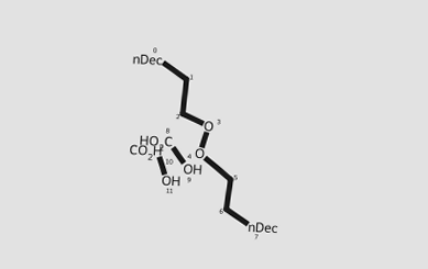 CCCCCCCCCCCCOOCCCCCCCCCCCC.O=C(O)O.O=C(O)O